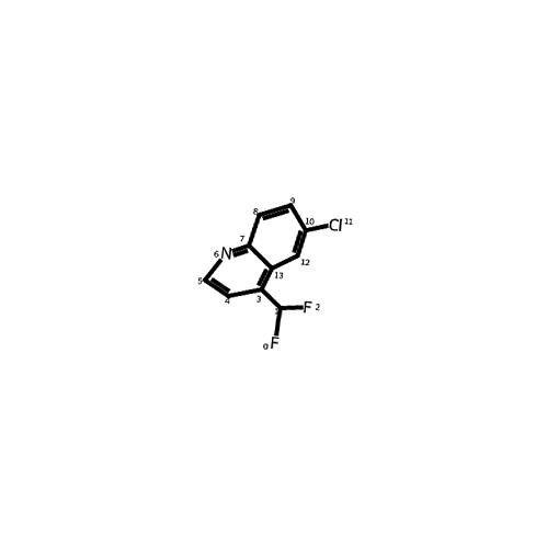 FC(F)c1ccnc2ccc(Cl)cc12